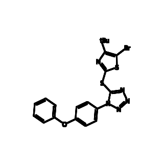 CC(C)(C)c1nc(Sc2nnnn2-c2ccc(Oc3ccccc3)cc2)sc1Br